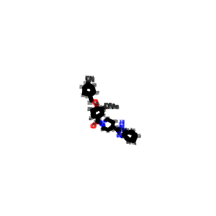 COc1cc(C(=O)N2CCC(c3nc4ccccc4[nH]3)CC2)ccc1OCc1ccc(C#N)cc1